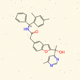 Cc1ccc([C@@H](NC(=O)Cc2ccc3oc(C(C)(O)c4cc(C)ncn4)cc3c2)c2ccccc2)c(C)c1